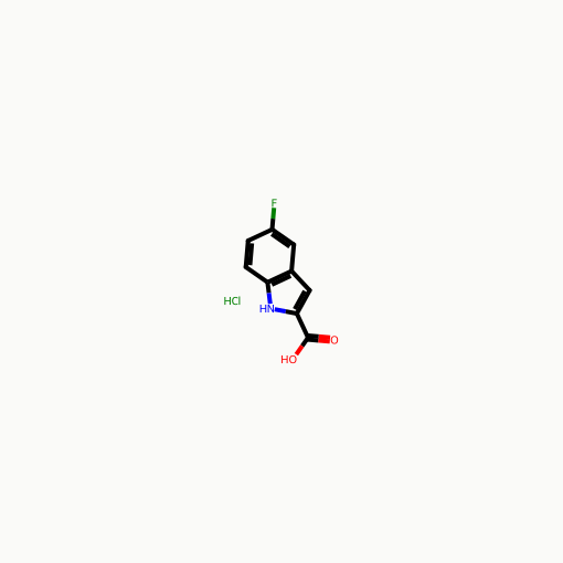 Cl.O=C(O)c1cc2cc(F)ccc2[nH]1